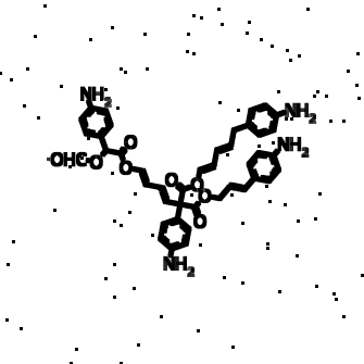 Nc1ccc(C=CCOC(=O)C(C=CC=COC(=O)C(O[C]=O)c2ccc(N)cc2)(C(=O)OC=CC=CCc2ccc(N)cc2)c2ccc(N)cc2)cc1